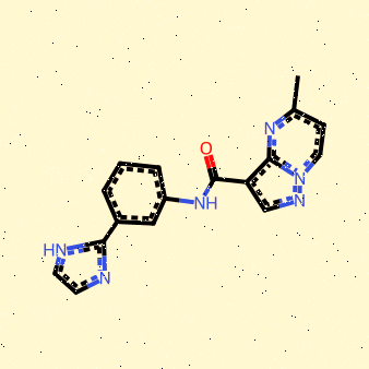 Cc1ccn2ncc(C(=O)Nc3cccc(-c4ncc[nH]4)c3)c2n1